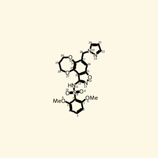 COc1cccc(OC)c1S(=O)(=O)Nc1noc2cc(Cn3cccn3)c3c(c12)OCCCO3